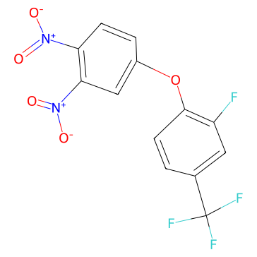 O=[N+]([O-])c1ccc(Oc2ccc(C(F)(F)F)cc2F)cc1[N+](=O)[O-]